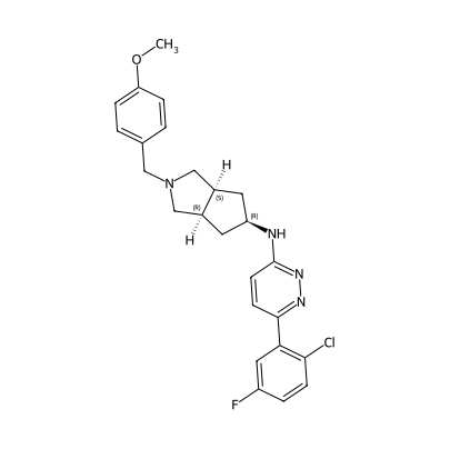 COc1ccc(CN2C[C@H]3C[C@@H](Nc4ccc(-c5cc(F)ccc5Cl)nn4)C[C@H]3C2)cc1